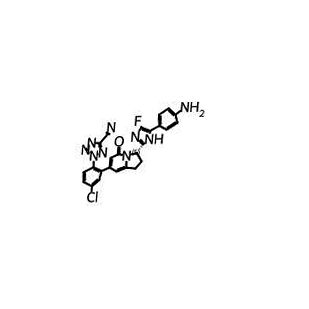 N#Cc1nnn(-c2ccc(Cl)cc2-c2cc3n(c(=O)c2)[C@H](c2nc(F)c(-c4ccc(N)cc4)[nH]2)CC3)n1